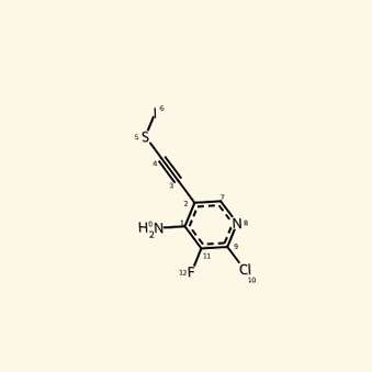 Nc1c(C#CSI)cnc(Cl)c1F